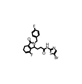 O=C(CCC1C2=C(CCC=C2F)C(=O)N1Cc1ccc(F)cc1)Nc1ncc(Br)s1